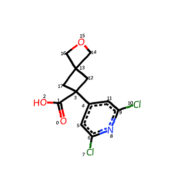 O=C(O)C1(c2cc(Cl)nc(Cl)c2)CC2(COC2)C1